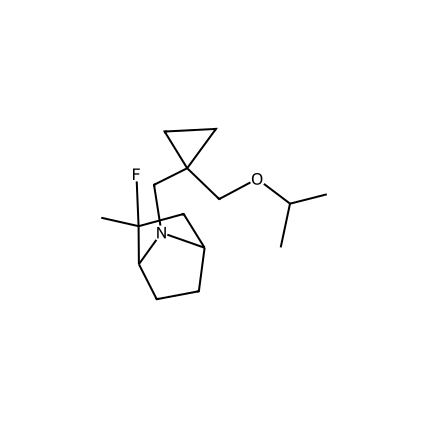 CC(C)OCC1(CN2C3CCC2C(C)(F)C3)CC1